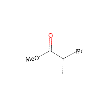 COC(=O)C(C)C(C)C